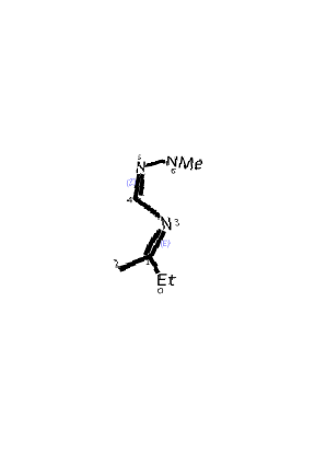 CC/C(C)=N/C=N\NC